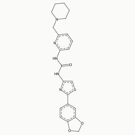 O=C(Nc1cccc(CN2CCCCC2)n1)Nc1csc(-c2ccc3c(c2)OCO3)n1